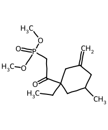 C=C1CC(C)CC(CC)(C(=O)CP(=O)(OC)OC)C1